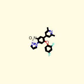 Cc1cc(-c2cc([N+](=O)[O-])c(-n3cccn3)cc2Oc2ccc(F)cc2F)cc(C)n1